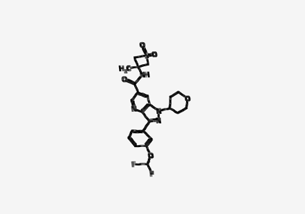 CC1(NC(=O)c2cnc3c(-c4cccc(OC(F)F)c4)nn(C4CCOCC4)c3c2)CS(=O)(=O)C1